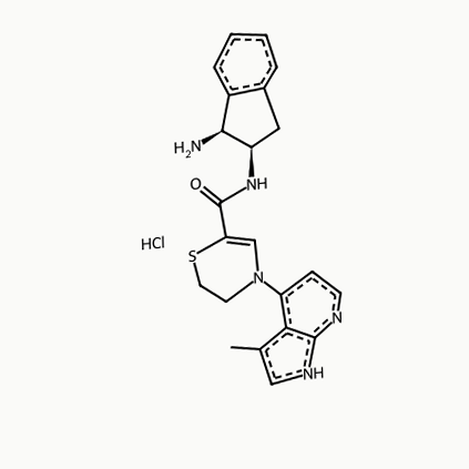 Cc1c[nH]c2nccc(N3C=C(C(=O)N[C@@H]4Cc5ccccc5[C@@H]4N)SCC3)c12.Cl